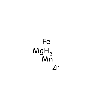 [Fe].[MgH2].[Mn].[Zr]